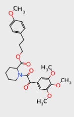 COc1ccc(CCCOC(=O)C2CCCCN2C(=O)C(=O)c2cc(OC)c(OC)c(OC)c2)cc1